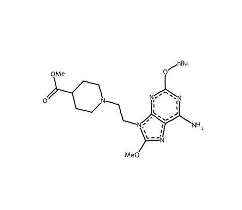 CCCCOc1nc(N)c2nc(OC)n(CCN3CCC(C(=O)OC)CC3)c2n1